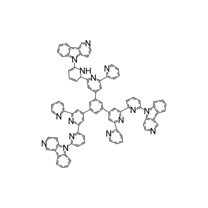 C1=CC(c2cc(-c3cc(-c4cc(-c5ccccn5)nc(-c5cccc(-n6c7ccccc7c7cnccc76)n5)c4)cc(-c4cc(-c5ccccn5)nc(-c5cccc(-n6c7ccccc7c7cnccc76)n5)c4)c3)cc(-c3ccccn3)n2)NC(n2c3ccccc3c3cnccc32)=C1